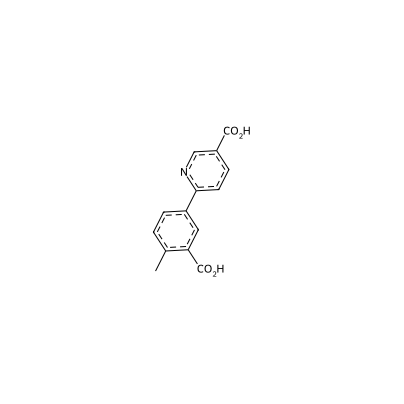 Cc1ccc(-c2ccc(C(=O)O)cn2)cc1C(=O)O